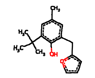 Cc1cc(Cc2ccco2)c(O)c(C(C)(C)C)c1